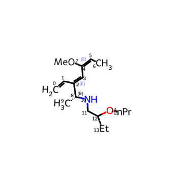 C=C/C(=C\C(=C/C)OC)[C@@H](C)NCC(CC)OCCC